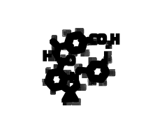 CC(NC(=O)c1cccc2c1N(Cc1cccc(F)c1)CC21CC1)c1ccc(C(=O)O)cc1